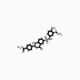 COc1cc(NS(=O)(=O)c2ccc3c(c2)C(=O)CC(c2ccc(C(C)=O)cc2)N3)ccc1C